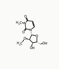 CO[C@@H]1[C@H](O)[C@@H](CO)O[C@H]1n1ccc(=O)n(C)c1=O